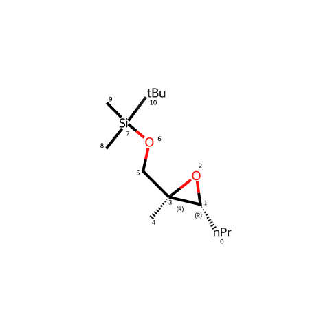 CCC[C@H]1O[C@]1(C)CO[Si](C)(C)C(C)(C)C